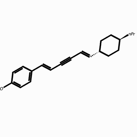 CCC[C@H]1CC[C@H](/C=C/C#C/C=C/c2ccc(OC)cc2)CC1